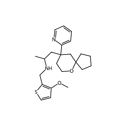 COc1ccsc1CNC(C)CC1(c2ccccn2)CCOC2(CCCC2)C1